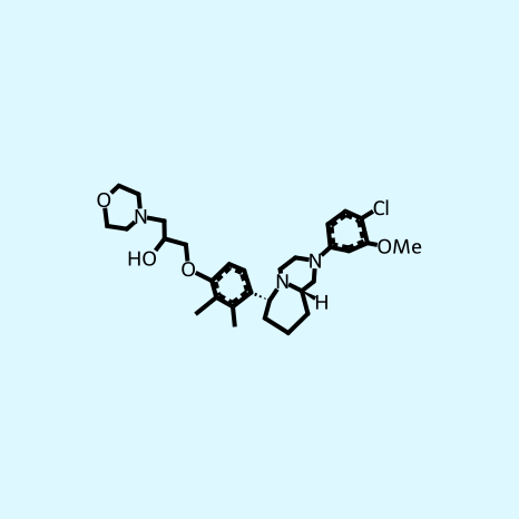 COc1cc(N2CCN3[C@@H](CCC[C@@H]3c3ccc(OCC(O)CN4CCOCC4)c(C)c3C)C2)ccc1Cl